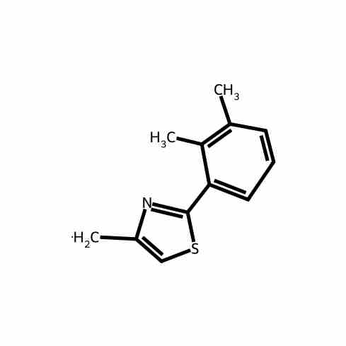 [CH2]c1csc(-c2cccc(C)c2C)n1